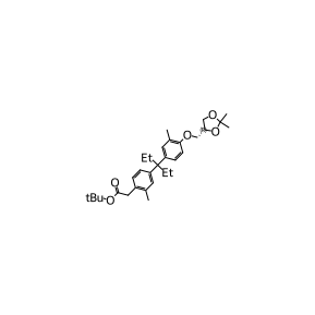 CCC(CC)(c1ccc(CC(=O)OC(C)(C)C)c(C)c1)c1ccc(OC[C@@H]2COC(C)(C)O2)c(C)c1